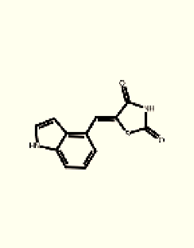 O=C1NC(=O)C(=Cc2cccc3[nH]ccc23)S1